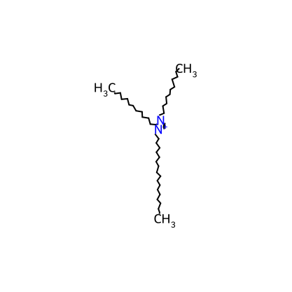 CCCCCCCCCCCCCCCCCCC[n+]1ccn(CCCCCCCCCCCC)c1CCCCCCCCCCCC